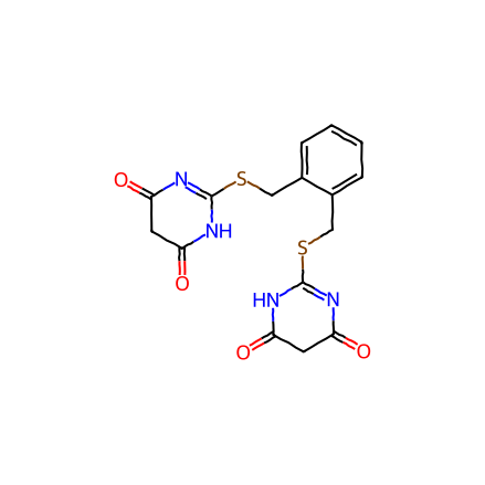 O=C1CC(=O)NC(SCc2ccccc2CSC2=NC(=O)CC(=O)N2)=N1